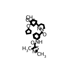 COc1ccc(C2=NN(C(=O)c3cccc(NC(=O)c4sc(C)nc4C)c3)CCC2)cc1OC1CCCC1